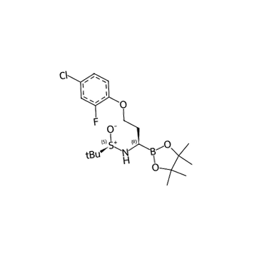 CC(C)(C)[S@@+]([O-])N[C@@H](CCOc1ccc(Cl)cc1F)B1OC(C)(C)C(C)(C)O1